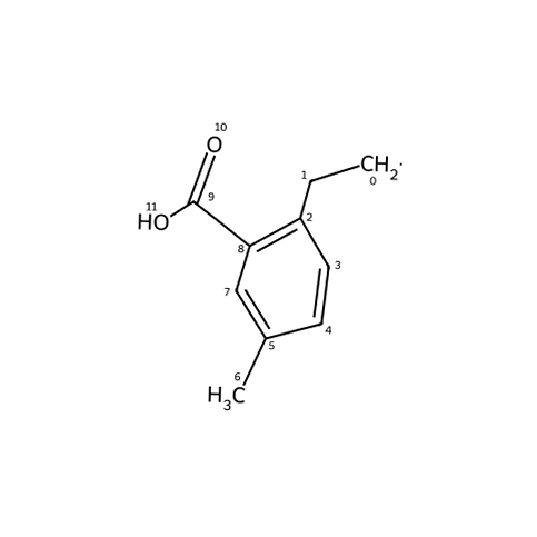 [CH2]Cc1ccc(C)cc1C(=O)O